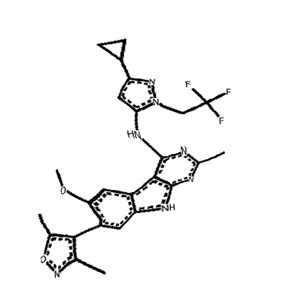 COc1cc2c(cc1-c1c(C)noc1C)[nH]c1nc(C)nc(Nc3cc(C4CC4)nn3CC(F)(F)F)c12